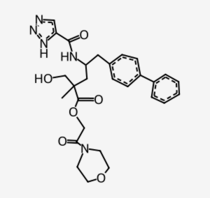 CC(CO)(CC(Cc1ccc(-c2ccccc2)cc1)NC(=O)c1cnn[nH]1)C(=O)OCC(=O)N1CCOCC1